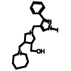 OCC1CN(Cc2cn(I)nc2-c2ccccc2)CC1CN1CCCCCC1